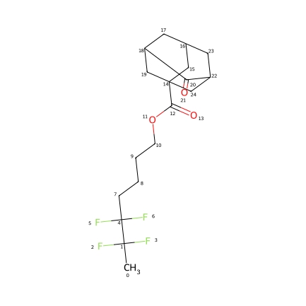 CC(F)(F)C(F)(F)CCCCOC(=O)C12CC3CC(C1)C(=O)C(C3)C2